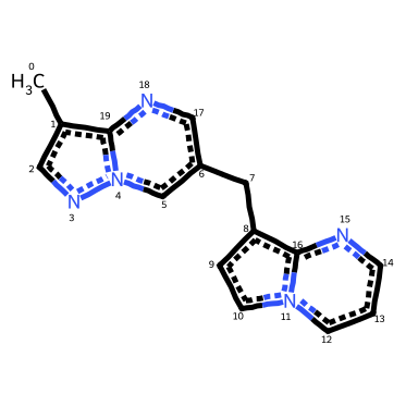 Cc1cnn2cc(Cc3ccn4cccnc34)cnc12